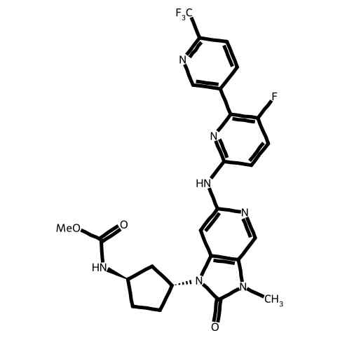 COC(=O)N[C@@H]1CC[C@@H](n2c(=O)n(C)c3cnc(Nc4ccc(F)c(-c5ccc(C(F)(F)F)nc5)n4)cc32)C1